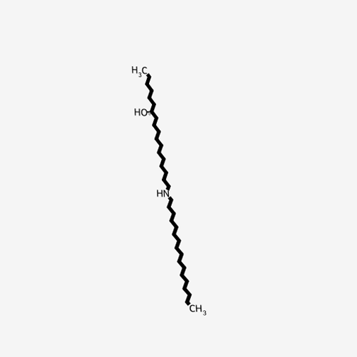 CCCCCCCCCCCCCCCCCNCCCCCCCCCCC[C@H](O)CCCCCC